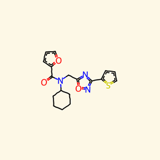 O=C(c1ccco1)N(Cc1nc(-c2cccs2)no1)C1CCCCC1